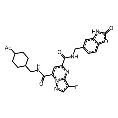 CC(=O)C1CCC(CNC(=O)c2cc(C(=O)NCc3ccc4oc(=O)[nH]c4c3)nc3c(F)cnn23)CC1